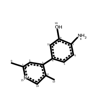 Cc1cc(-c2ccc(N)c(O)c2)c(C)cn1